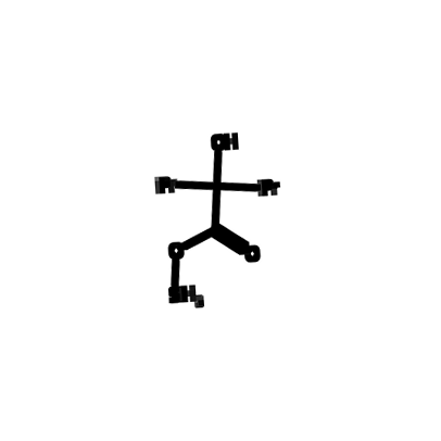 CC(C)C(O)(C(=O)O[SiH3])C(C)C